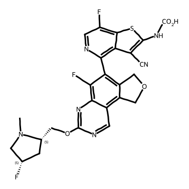 CN1C[C@@H](F)C[C@H]1COc1ncc2c3c(c(-c4ncc(F)c5sc(NC(=O)O)c(C#N)c45)c(F)c2n1)COC3